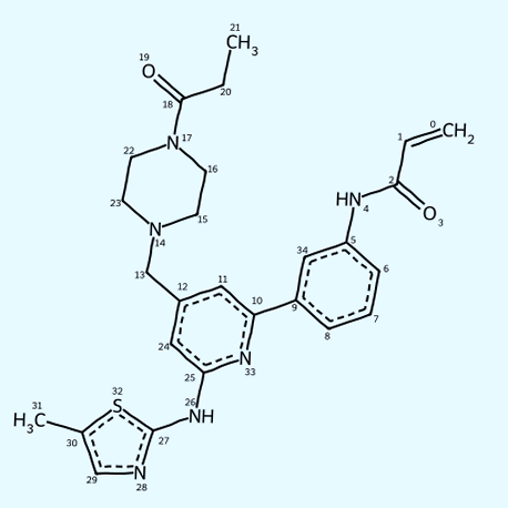 C=CC(=O)Nc1cccc(-c2cc(CN3CCN(C(=O)CC)CC3)cc(Nc3ncc(C)s3)n2)c1